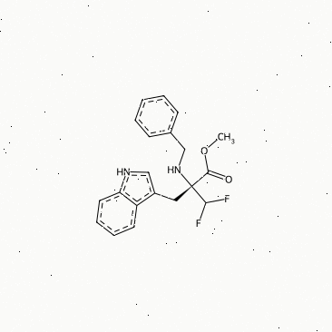 COC(=O)[C@@](Cc1c[nH]c2ccccc12)(NCc1ccccc1)C(F)F